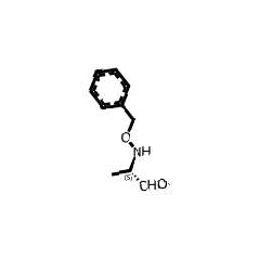 C[C@@H]([C]=O)NOCc1ccccc1